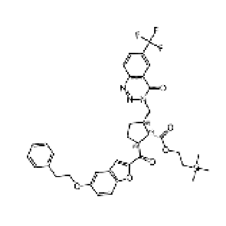 C[Si](C)(C)CCOC(=O)[C@H]1[C@H](Cn2nnc3ccc(C(F)(F)F)cc3c2=O)CC[C@@H]1C(=O)c1cc2cc(OCCc3ccccc3)ccc2o1